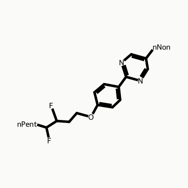 CCCCCCCCCc1cnc(-c2ccc(OCCC(F)C(F)CCCCC)cc2)nc1